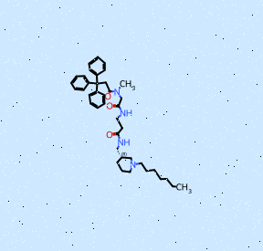 CCCCCCCN1CCC[C@H](CNC(=O)CCNC(=O)CN(C)C(=O)CC(c2ccccc2)(c2ccccc2)c2ccccc2)C1